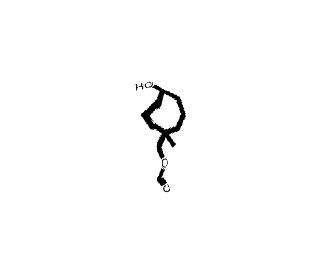 CC1(COC=O)C/C=C/C(O)CCC1